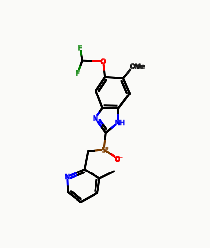 COc1cc2[nH]c([S+]([O-])Cc3ncccc3C)nc2cc1OC(F)F